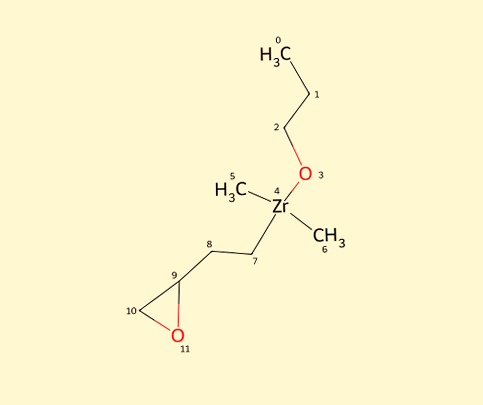 CCC[O][Zr]([CH3])([CH3])[CH2]CC1CO1